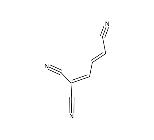 N#CC=CC=C(C#N)C#N